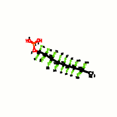 OP(O)OC(F)(F)C(F)(F)C(F)(F)C(F)(F)C(F)(F)C(F)(F)C(F)(F)C(F)(F)C(F)(F)F